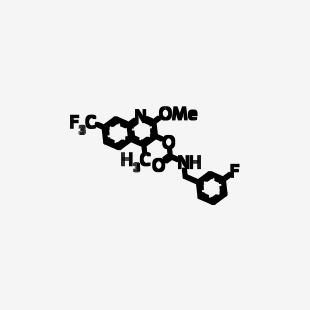 COc1nc2cc(C(F)(F)F)ccc2c(C)c1OC(=O)NCc1cccc(F)c1